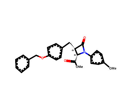 COC(=O)[C@@H]1[C@H](Cc2ccc(OCc3ccccc3)cc2)C(=O)N1c1ccc(OC)cc1